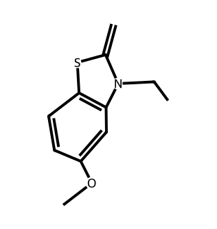 C=C1Sc2ccc(OC)cc2N1CC